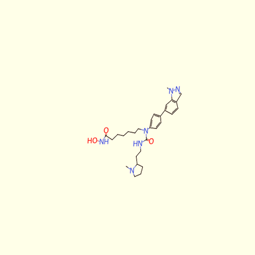 CN1CCCC1CCNC(=O)N(CCCCCCC(=O)NO)c1ccc(-c2ccc3cnn(C)c3c2)cc1